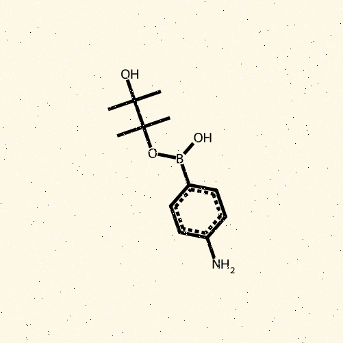 CC(C)(O)C(C)(C)OB(O)c1ccc(N)cc1